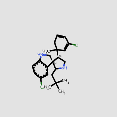 CC(C)(C)CC1NC[C@H](C2(C)C=C(Cl)C=CC2)[C@]12CNc1ccc(Cl)cc12